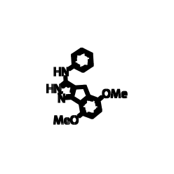 COc1ccc(OC)c2c1Cc1c-2n[nH]c1Nc1ccccc1